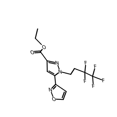 CCOC(=O)c1cc(-c2ccon2)n(CCC(F)(F)C(F)(F)F)n1